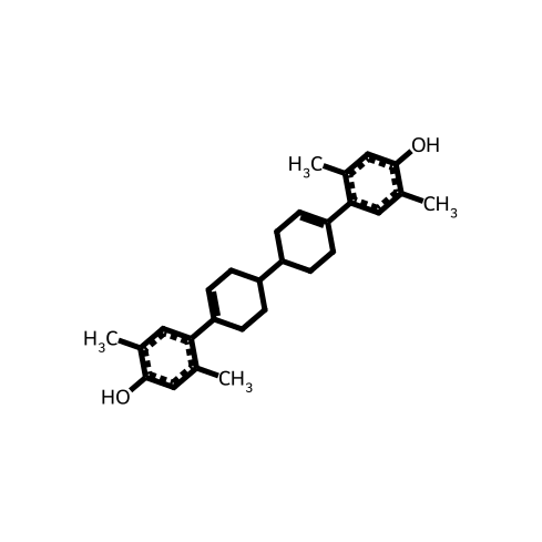 Cc1cc(C2=CCC(C3CC=C(c4cc(C)c(O)cc4C)CC3)CC2)c(C)cc1O